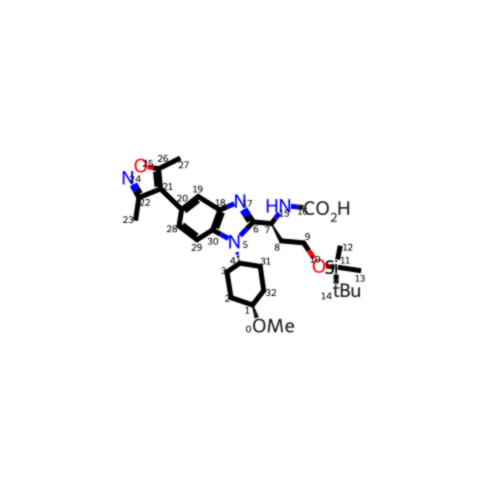 CO[C@H]1CC[C@H](n2c([C@H](CCO[Si](C)(C)C(C)(C)C)NC(=O)O)nc3cc(-c4c(C)noc4C)ccc32)CC1